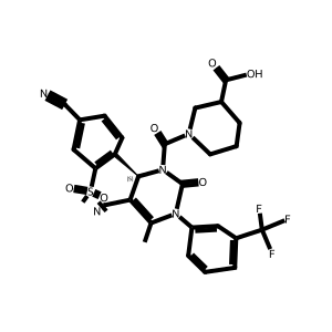 CC1=C(C#N)[C@@H](c2ccc(C#N)cc2S(C)(=O)=O)N(C(=O)N2CCCC(C(=O)O)C2)C(=O)N1c1cccc(C(F)(F)F)c1